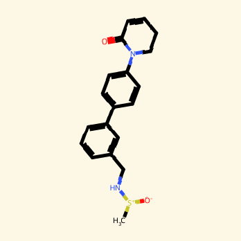 C[S+]([O-])NCc1cccc(-c2ccc(N3CCC=CC3=O)cc2)c1